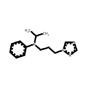 CC(C)N(CCCn1cncn1)c1ccccc1